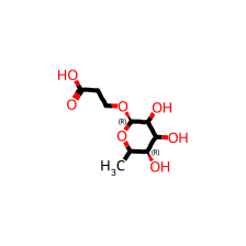 CC1O[C@@H](OCCC(=O)O)C(O)C(O)[C@H]1O